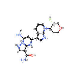 CNc1cc(-c2cnc3n(C4CCOC[C@H]4F)cccc2-3)nc2c(C(N)=O)cnn12